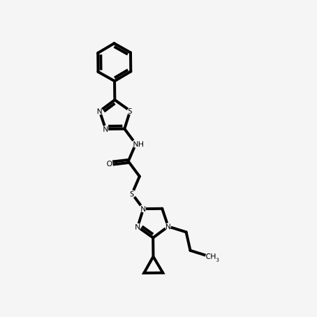 CCCN1CN(SCC(=O)Nc2nnc(-c3ccccc3)s2)N=C1C1CC1